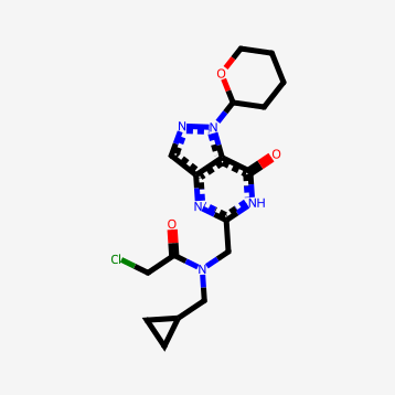 O=C(CCl)N(Cc1nc2cnn(C3CCCCO3)c2c(=O)[nH]1)CC1CC1